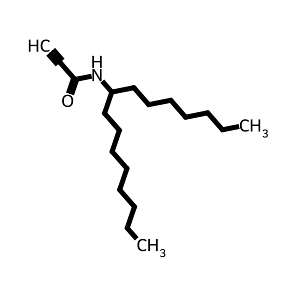 C#CC(=O)NC(CCCCCCC)CCCCCCCC